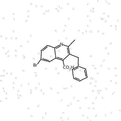 Cc1nc2ccc(Br)cc2c(C(=O)O)c1Cc1ccccc1